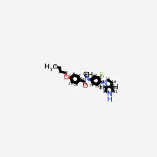 CCCCOc1ccc(C(=O)N(C)c2ccc(N3CC[C@@H]4CNC[C@@H]43)c(F)c2)cc1